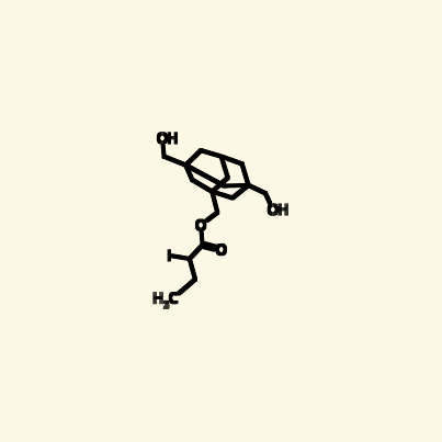 CCC(I)C(=O)OCC12CC3CC(CO)(CC(CO)(C3)C1)C2